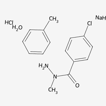 CN(N)C(=O)c1ccc(Cl)cc1.Cc1ccccc1.Cl.O.[NaH]